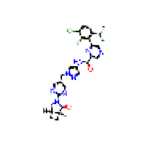 O=C(Nc1cnn(Cc2cnc(N3C[C@H]4CC[C@H]4C3=O)nc2)c1)c1cncc(-c2c(C(F)F)ccc(Cl)c2F)n1